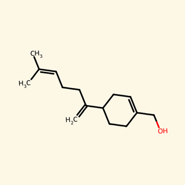 C=C(CCC=C(C)C)C1CC=C(CO)CC1